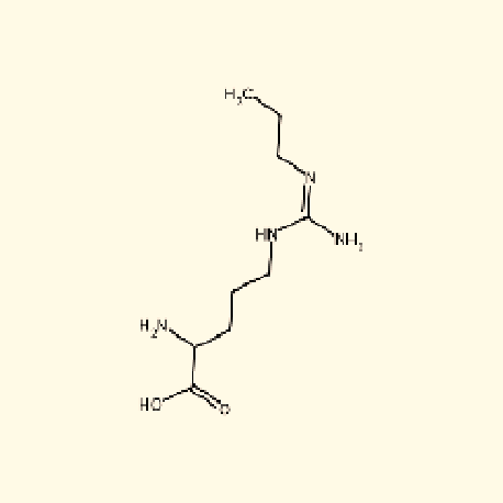 CCCN=C(N)NCCCC(N)C(=O)O